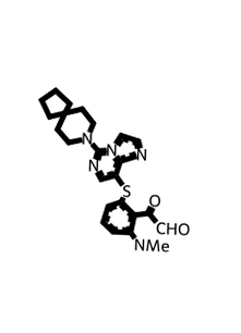 CNc1cccc(Sc2cnc(N3CCC4(CCCC4)CC3)n3ccnc23)c1C(=O)C=O